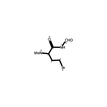 CNC(CCBr)C(=O)NC=O